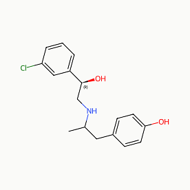 CC(Cc1ccc(O)cc1)NC[C@H](O)c1cccc(Cl)c1